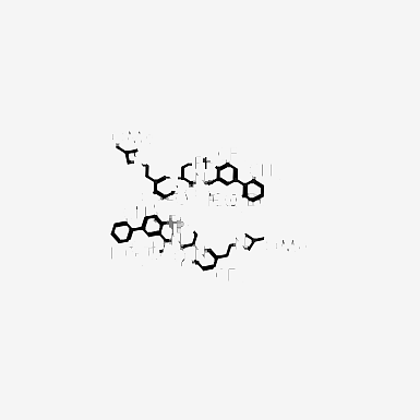 CCOC(=O)C[C@H](NC(=O)C(CC(C)C)n1cc(CCN2CC(COC)C2)c(C(F)(F)F)cc1=O)c1cc(-c2c(C)cccc2C)cc(C(F)(F)F)c1F.COCC1CN(CCc2cn(C(CC(C)C)C(=O)N[C@@H](CC(=O)O)c3cc(-c4c(C)cccc4C)cc(C(F)(F)F)c3F)c(=O)cc2C(F)(F)F)C1